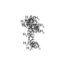 C[Si](C)(C)O[Si](C)(C)c1ccc([Si](C)(CCC[Si](C)(C)O[Si](C)(C)c2ccc([Si](C)(C)C)cc2)c2ccc([Si](C)(C)O[Si](C)(C)C)cc2)cc1